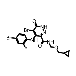 O=C(NCOCC1CC1)c1n[nH]c(=O)c(Br)c1Nc1ccc(Br)cc1F